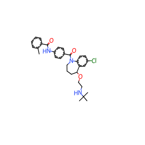 Cc1ccccc1C(=O)Nc1ccc(C(=O)N2CCCC(OCCNC(C)(C)C)c3cc(Cl)ccc32)cc1